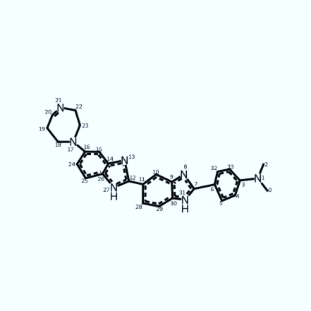 CN(C)c1ccc(-c2nc3cc(-c4nc5cc(N6CCC=NCC6)ccc5[nH]4)ccc3[nH]2)cc1